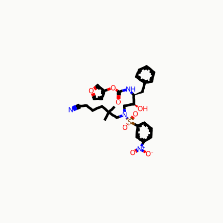 CC(C)(CCCC#N)CN(C[C@H](O)[C@H](Cc1ccccc1)NC(=O)Oc1ccoc1)S(=O)(=O)c1cccc([N+](=O)[O-])c1